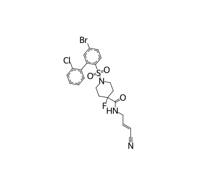 N#C/C=C/CNC(=O)C1(F)CCN(S(=O)(=O)c2ccc(Br)cc2-c2ccccc2Cl)CC1